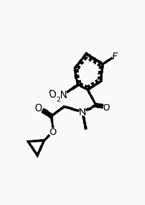 CN(CC(=O)OC1CC1)C(=O)c1cc(F)ccc1[N+](=O)[O-]